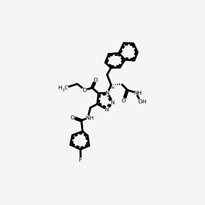 CCOC(=O)c1c(CNC(=O)c2ccc(F)cc2)nnn1[C@@H](CC(=O)NO)Cc1ccc2ccccc2c1